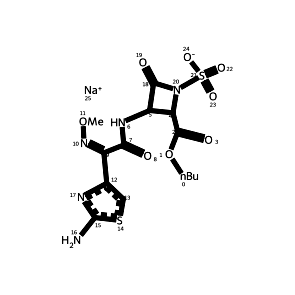 CCCCOC(=O)C1C(NC(=O)C(=NOC)c2csc(N)n2)C(=O)N1S(=O)(=O)[O-].[Na+]